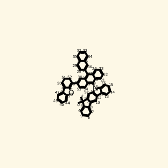 CC1(C)c2ccccc2-c2cc3c4ccccc4n(-c4c5ccccc5c(-c5ccc6ccccc6c5)c5cc(C6=c7oc8ccccc8c7=CCC6)ccc45)c3cc21